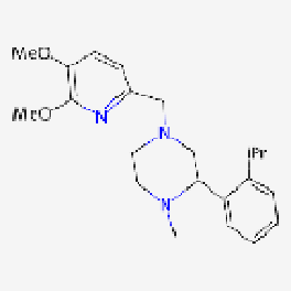 COc1ccc(CN2CCN(C)C(c3ccccc3C(C)C)C2)nc1OC